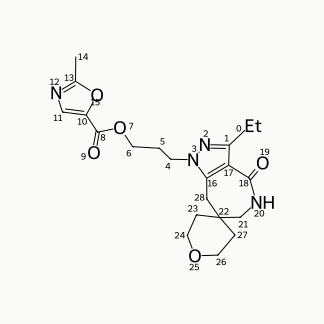 CCc1nn(CCCOC(=O)c2cnc(C)o2)c2c1C(=O)NCC1(CCOCC1)C2